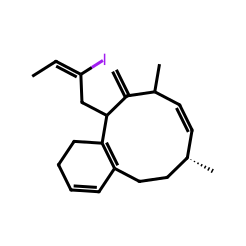 C=C1C(C)/C=C\[C@H](C)CCC2=C(CCC=C2)C1C/C(I)=C\C